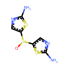 Nc1ncc([S+]([O-])c2cnc(N)s2)s1